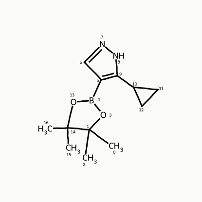 CC1(C)OB(c2cn[nH]c2C2CC2)OC1(C)C